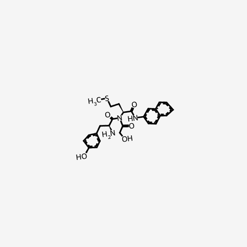 CSCC[C@@H](C(=O)Nc1ccc2ccccc2c1)N(C(=O)CO)C(=O)[C@@H](N)Cc1ccc(O)cc1